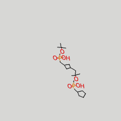 CC(C)(C)OCP(=O)(O)CC1CC(CC(C)(C)OCP(=O)(O)CC2CCCC2)C1